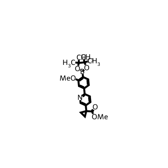 COC(=O)C1(c2ccc(-c3ccc(B4OC(C)(C)C(C)(C)O4)c(OC)c3)nc2)CC1